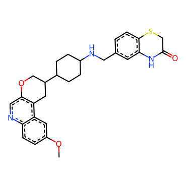 COc1ccc2ncc3c(c2c1)CC(C1CCC(NCc2ccc4c(c2)NC(=O)CS4)CC1)CO3